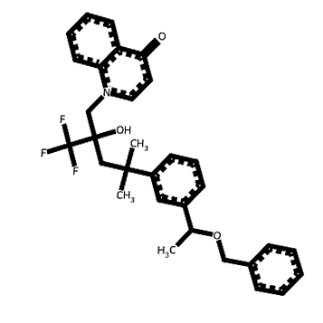 CC(OCc1ccccc1)c1cccc(C(C)(C)CC(O)(Cn2ccc(=O)c3ccccc32)C(F)(F)F)c1